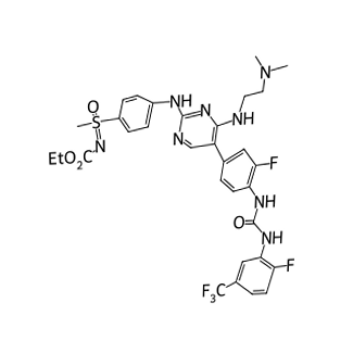 CCOC(=O)N=S(C)(=O)c1ccc(Nc2ncc(-c3ccc(NC(=O)Nc4cc(C(F)(F)F)ccc4F)c(F)c3)c(NCCN(C)C)n2)cc1